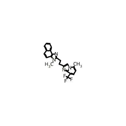 Cc1ccc(C(F)(F)F)c2nc(CCc3nc4c5ccccc5ccc4n3C)cn12